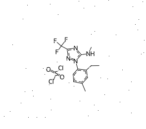 CCc1cc(C)ccc1-n1nc(C(F)(F)F)nc1NC.O=S(=O)(Cl)Cl